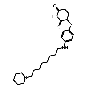 O=C1CCC(Nc2ccc(NCCCCCCCCN3CCCCC3)cc2)C(=O)N1